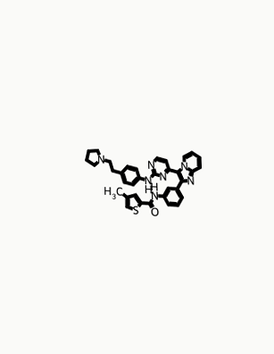 Cc1csc(C(=O)Nc2cccc(-c3nc4ccccn4c3-c3ccnc(Nc4ccc(CCN5CCCC5)cc4)n3)c2)c1